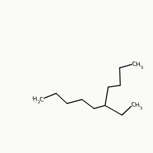 [CH2]CCCCC(CC)CCCC